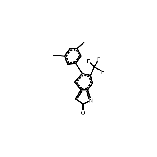 Cc1cc(C)cc(-c2cc3c(cc2C(F)(F)F)=NC(=O)C=3)c1